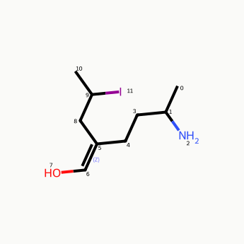 CC(N)CC/C(=C/O)CC(C)I